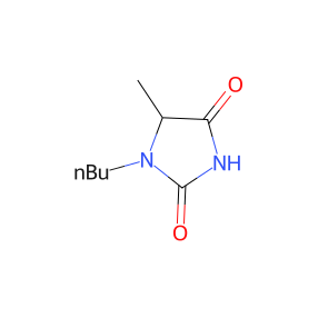 CCCCN1C(=O)NC(=O)C1C